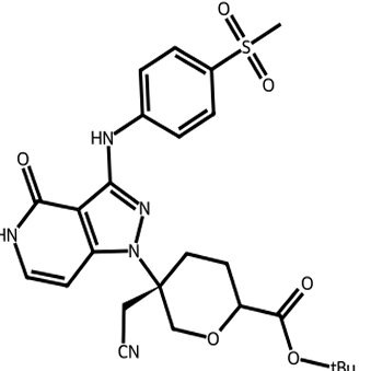 CC(C)(C)OC(=O)C1CC[C@@](CC#N)(n2nc(Nc3ccc(S(C)(=O)=O)cc3)c3c(=O)[nH]ccc32)CO1